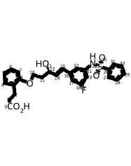 O=C(O)CCc1ccccc1OCC[C@@H](O)/C=C/c1cc(F)cc(NS(=O)(=O)c2ccccc2)c1